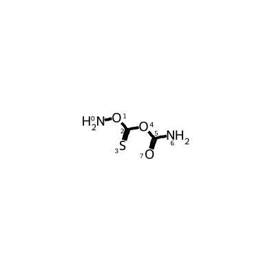 NOC(=S)OC(N)=O